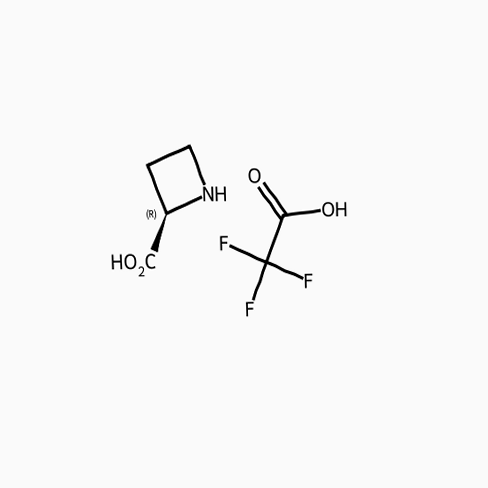 O=C(O)C(F)(F)F.O=C(O)[C@H]1CCN1